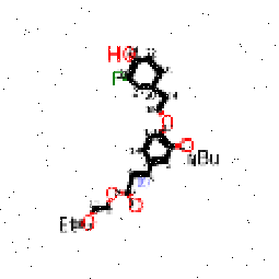 CCCCOc1cc(/C=C/C(=O)OCCOCC)ccc1OCCc1ccc(O)c(F)c1